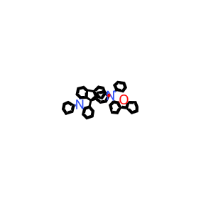 c1ccc(N2c3ccccc3C3(c4ccccc4)c4cc(N(c5ccccc5)c5cccc6c5oc5ccccc56)ccc4-c4cccc2c43)cc1